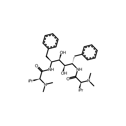 CC(C)[C@@H](C(=O)N[C@@H](Cc1ccccc1)[C@@H](O)[C@H](O)[C@H](Cc1ccccc1)NC(=O)[C@H](C(C)C)N(C)C)N(C)C